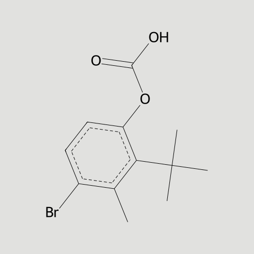 Cc1c(Br)ccc(OC(=O)O)c1C(C)(C)C